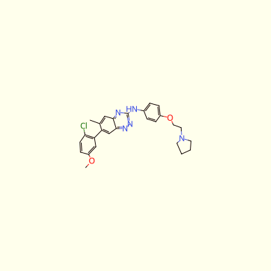 COc1ccc(Cl)c(-c2cc3nnc(Nc4ccc(OCCN5CCCC5)cc4)nc3cc2C)c1